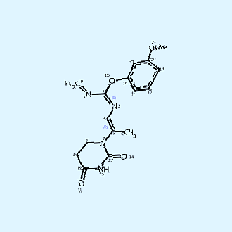 C=N/C(=N\C=C(/C)N1CCC(=O)NC1=O)Oc1cccc(OC)c1